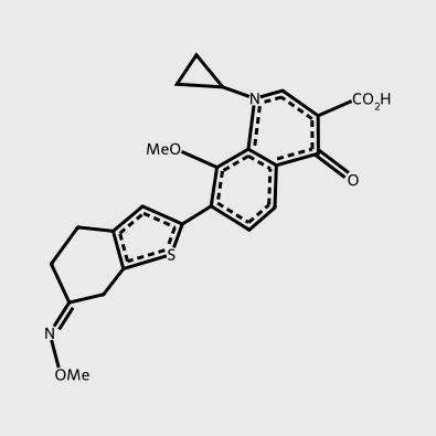 CO/N=C1/CCc2cc(-c3ccc4c(=O)c(C(=O)O)cn(C5CC5)c4c3OC)sc2C1